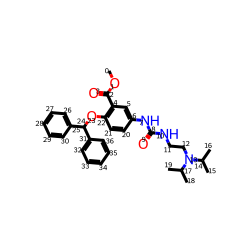 COC(=O)c1cc(NC(=O)NCCN(C(C)C)C(C)C)ccc1OC(c1ccccc1)c1ccccc1